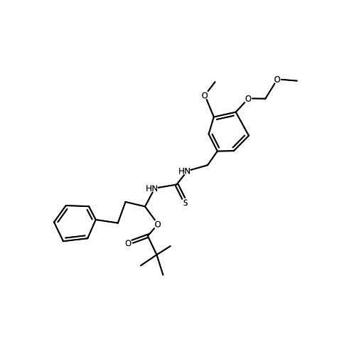 COCOc1ccc(CNC(=S)NC(CCc2ccccc2)OC(=O)C(C)(C)C)cc1OC